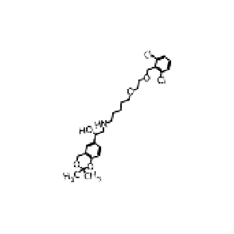 CC1(C)OCc2cc([C@@H](O)CNCCCCCOCCOCc3c(Cl)cccc3Cl)ccc2O1